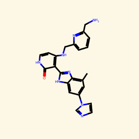 Cc1cc(-n2ccnc2)cc2[nH]c(-c3c(NCc4cccc(CN)n4)cc[nH]c3=O)nc12